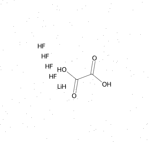 F.F.F.F.O=C(O)C(=O)O.[LiH]